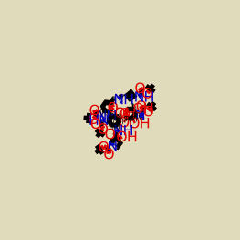 CN(C(=O)OC(C)(C)C)[C@@H]1[C@@H](O)[C@@H](O[C@@H]2[C@@H](O)[C@H](C3OC(CNC[C@H]4C[C@H](NC(=O)OC(C)(C)C)C4)=CC[C@H]3NC(=O)OC(C)(C)C)[C@@H](NC(=O)OC(C)(C)C)C[C@H]2NC(=O)C2(O)CCN(C(=O)OC(C)(C)C)C2)OC[C@]1(C)O